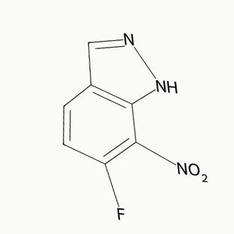 O=[N+]([O-])c1c(F)ccc2cn[nH]c12